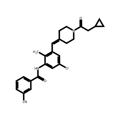 Cc1c(C=C2CCN(C(=O)CC3CC3)CC2)cc(Cl)cc1NC(=O)c1cccc(C#N)c1